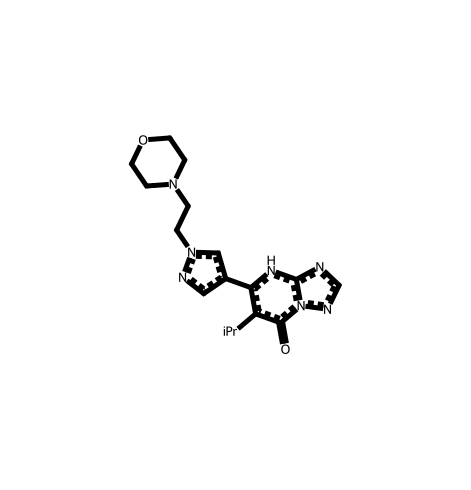 CC(C)c1c(-c2cnn(CCN3CCOCC3)c2)[nH]c2ncnn2c1=O